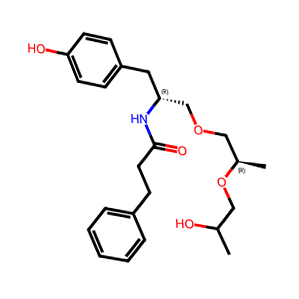 CC(O)CO[C@H](C)COC[C@@H](Cc1ccc(O)cc1)NC(=O)CCc1ccccc1